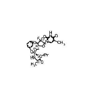 Cc1cn([C@@H]2O[C@H](COP(=S)(N[C@@H](C)C(=O)OC(C)C)Oc3ccccc3)[C@@H](O)[C@]2(F)Cl)c(=O)[nH]c1=O